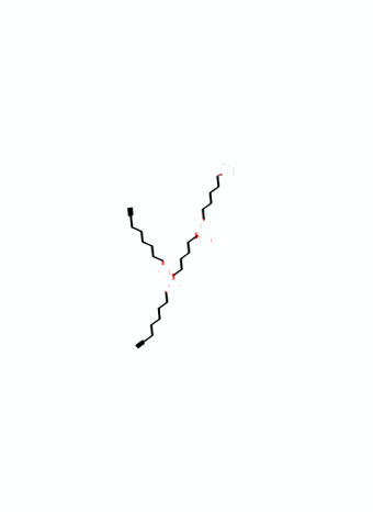 C#CCCCCCCOC(CCCCC(=O)OCCCCCCBr)OCCCCCCC#C